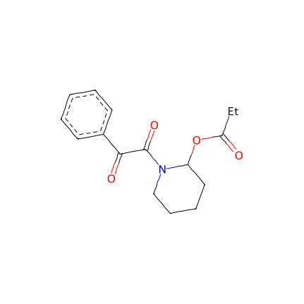 CCC(=O)OC1CCCCN1C(=O)C(=O)c1ccccc1